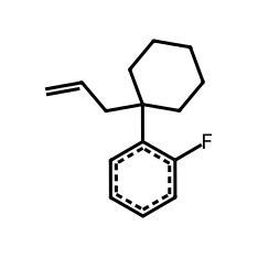 C=CCC1(c2ccccc2F)CCCCC1